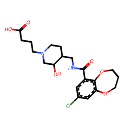 O=C(O)CCCN1CCC(CNC(=O)c2cc(Cl)cc3c2OCCCO3)C(O)C1